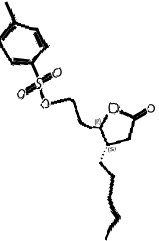 CCCCC[C@H]1CC(=O)O[C@@H]1CCOS(=O)(=O)c1ccc(C)cc1